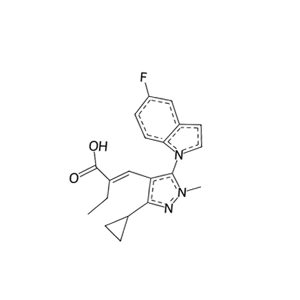 CCC(=Cc1c(C2CC2)nn(C)c1-n1ccc2cc(F)ccc21)C(=O)O